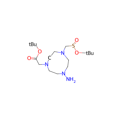 CC(C)(C)OC(=O)CN1CCN(N)CCN(CS(=O)OC(C)(C)C)CC1